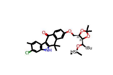 Cc1cc2c3c([nH]c2cc1Cl)C(C)(C)c1cc(OC[C@H]2OC(C)(C)O[C@H]2C(O[SiH](C)C)C(C)(C)C)ccc1C3=O